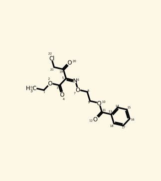 CCOC(=O)C(=NOCCOC(=O)c1ccccc1)C(=O)CCl